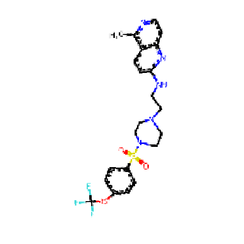 Cc1nccc2nc(NCCN3CCN(S(=O)(=O)c4ccc(OC(F)(F)F)cc4)CC3)ccc12